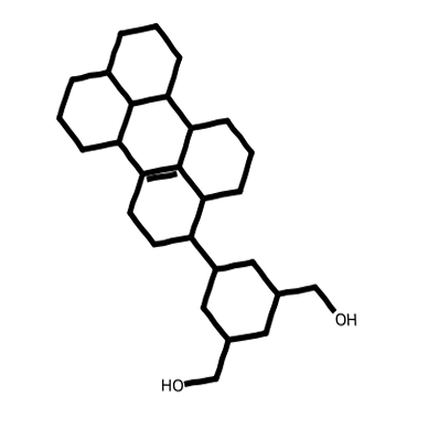 OCC1CC(CO)CC(C2CCC3=C4C2CCCC4C2CCCC4CCCC3C42)C1